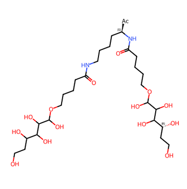 CC(=O)[C@H](CCCCNC(=O)CCCCOC(O)C(O)C(O)C(O)CCO)NC(=O)CCCCOC(O)C(O)C(O)[C@H](O)CCO